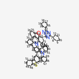 N#Cc1cc(-c2nc(-c3ccccc3)nc(-c3ccccc3)n2)c2oc3ccccc3c2c1-n1c2ccccc2c2cc(-c3ccc4sc5ccccc5c4c3)c3c(c4ccccc4n3-c3ccccc3)c21